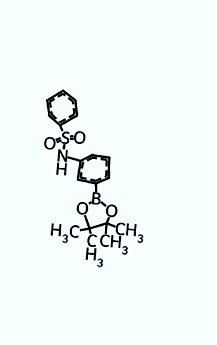 CC1(C)OB(c2cccc(NS(=O)(=O)c3ccccc3)c2)OC1(C)C